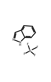 F[B-](F)(F)F.c1ccc2[nH]ncc2c1